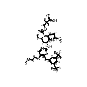 CC[C@@H]1C[C@H](Nc2ncc(OCCOC)c(Cc3cc(C(F)(F)F)cc(C(F)(F)F)c3)n2)c2nc(OC)ccc2N1C(=O)OCC(C)(C)C(=O)O